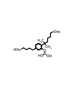 CCCCCCCCCCCCCCc1ccc(C(C)(C)CCCCCCCCCCCCCC)c(OP(O)O)c1